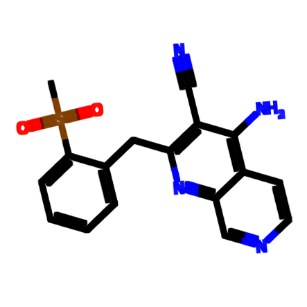 CS(=O)(=O)c1ccccc1Cc1nc2cnccc2c(N)c1C#N